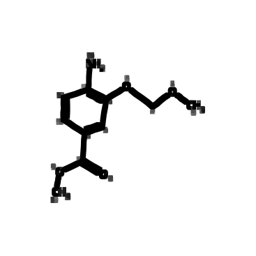 COCOc1cc(C(=O)OC)ccc1N